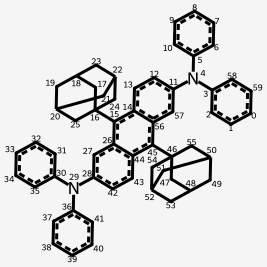 c1ccc(N(c2ccccc2)c2ccc3c(C45CC6CC(CC(C6)C4)C5)c4cc(N(c5ccccc5)c5ccccc5)ccc4c(C45CC6CC(CC(C6)C4)C5)c3c2)cc1